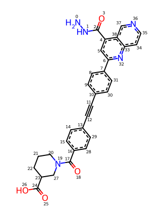 NNC(=O)c1cc(-c2ccc(C#Cc3ccc(C(=O)N4CCCC(C(=O)O)C4)cc3)cc2)nc2ccncc12